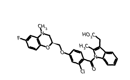 Cc1c(CC(=O)O)c2ccccc2n1C(=O)c1ccc(OC[C@@H]2CN(C)c3cc(F)ccc3O2)cc1Cl